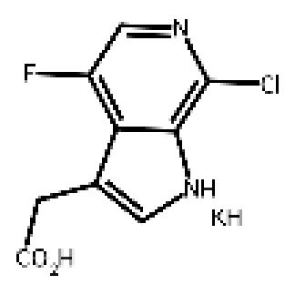 O=C(O)Cc1c[nH]c2c(Cl)ncc(F)c12.[KH]